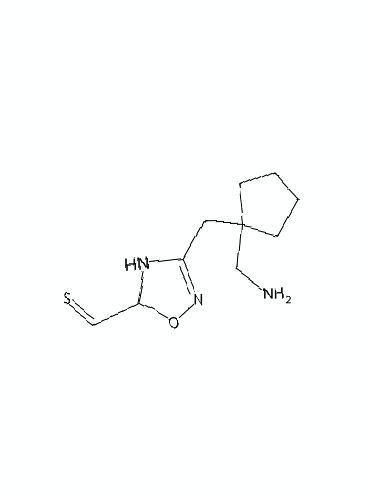 NCC1(CC2=NOC(C=S)N2)CCCC1